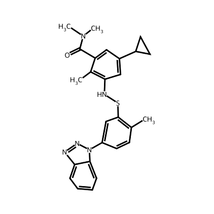 Cc1ccc(-n2nnc3ccccc32)cc1SNc1cc(C2CC2)cc(C(=O)N(C)C)c1C